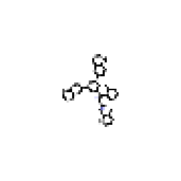 CC(/C=C(/c1cc(-c2ccc3ncccc3c2)cc(-c2ccc3ncccc3c2)c1)c1ccccc1C)=N\c1ncccc1C